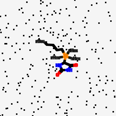 CCCCCCCCCCCCCCP(CCCCCC)(CCCCCC)(CCCCCC)C1NC(=O)NC1=O